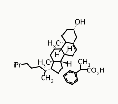 CC(C(=O)O)c1ccccc1.CC(C)CCCC(C)[C@H]1CC[C@H]2[C@@H]3CC=C4C[C@@H](O)CC[C@]4(C)[C@H]3CC[C@]12C